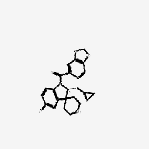 O=C(c1ccc2c(c1)OCO2)N1c2ccc(F)cc2C2(CCNCC2)[C@H]1CC1CC1